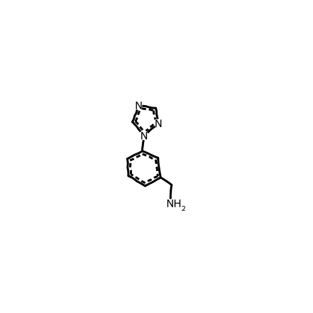 NCc1cccc(-n2cncn2)c1